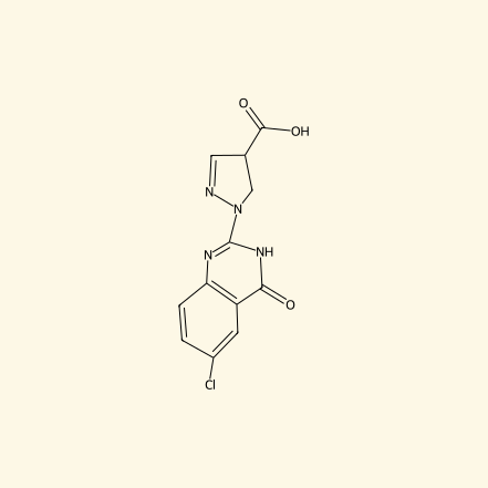 O=C(O)C1C=NN(c2nc3ccc(Cl)cc3c(=O)[nH]2)C1